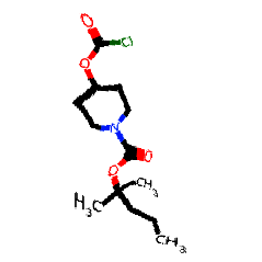 CCCC(C)(C)OC(=O)N1CCC(OC(=O)Cl)CC1